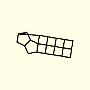 C1=C2CC3CC4C5C6C7CC8CC9C%10C%11C2C4(C13)C5%11C6%10C879